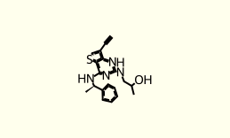 C#Cc1csc2c(N[C@H](C)c3ccccc3)nc(NCC(C)O)nc12